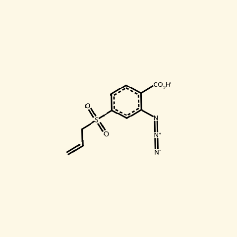 C=CCS(=O)(=O)c1ccc(C(=O)O)c(N=[N+]=[N-])c1